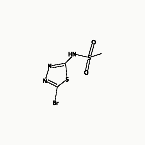 CS(=O)(=O)Nc1nnc(Br)s1